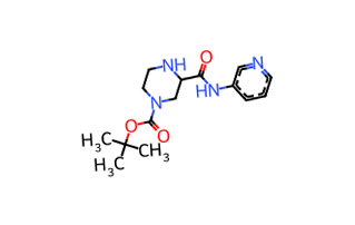 CC(C)(C)OC(=O)N1CCNC(C(=O)Nc2cccnc2)C1